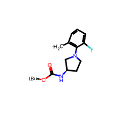 [CH2]c1cccc(F)c1N1CC[C@@H](NC(=O)OC(C)(C)C)C1